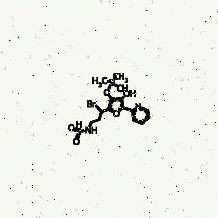 C[Si](C)(C)Oc1c(C(Br)CCN[SH](=O)=O)oc(-c2ccccn2)c1O